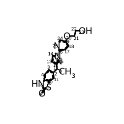 C[C@@H](c1ccc2[nH]c(=O)sc2c1)c1ccn(-c2ccc(OCCO)cn2)n1